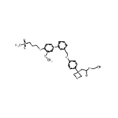 CCOC(=O)CC1(c2ccc(OCc3cccc(-c4ccc(OCCCS(C)(=O)=O)c(OC)c4)c3)cc2)COC1